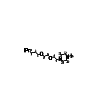 CC(C)CCCOCCOCCN1CCN(I)CC1